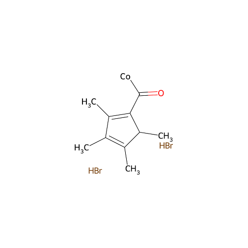 Br.Br.CC1=C(C)C(C)C([C](=O)[Co])=C1C